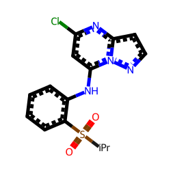 CC(C)S(=O)(=O)c1ccccc1Nc1cc(Cl)nc2ccnn12